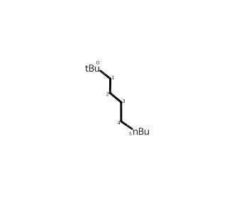 [CH2]C(C)(C)CCCCC[CH]CC